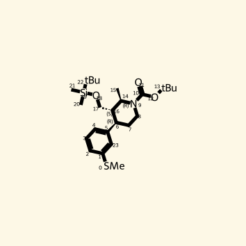 CSc1cccc([C@@H]2CCN(C(=O)OC(C)(C)C)[C@H](C)[C@H]2CO[Si](C)(C)C(C)(C)C)c1